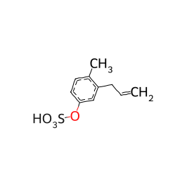 C=CCc1cc(OS(=O)(=O)O)ccc1C